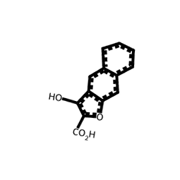 O=C(O)c1oc2cc3ccccc3cc2c1O